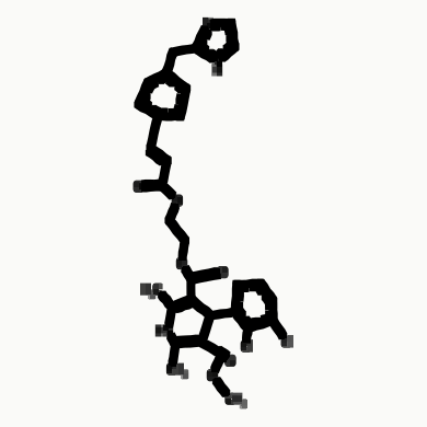 COC(=O)C1=C(C)NC(C)=C(C(=O)OCCOC(=O)C=Cc2ccc(Cc3ncc[nH]3)cc2)C1c1cccc(Cl)c1Cl